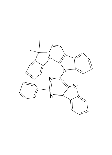 CC1(C)c2ccccc2-c2c1ccc1c3ccccc3n(-c3nc(-c4ccccc4)nc4c3[Si](C)(C)c3ccccc3-4)c21